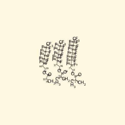 C=C(C)C(=O)OCCC(F)(F)C(F)(F)C(F)(F)C(F)(F)C(F)(F)C(F)(F)C(F)(F)C(F)(F)F.C=C(C)C(=O)OCCC(F)(F)C(F)(F)C(F)(F)C(F)(F)C(F)(F)C(F)(F)F.C=CC(=O)OCCC(F)(F)C(F)(F)C(F)(F)C(F)(F)C(F)(F)C(F)(F)F